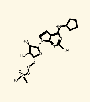 CP(=O)(O)OOC[C@H]1O[C@@H](n2ccc3c(NC4CCCC4)nc(C#N)nc32)[C@H](O)[C@@H]1O